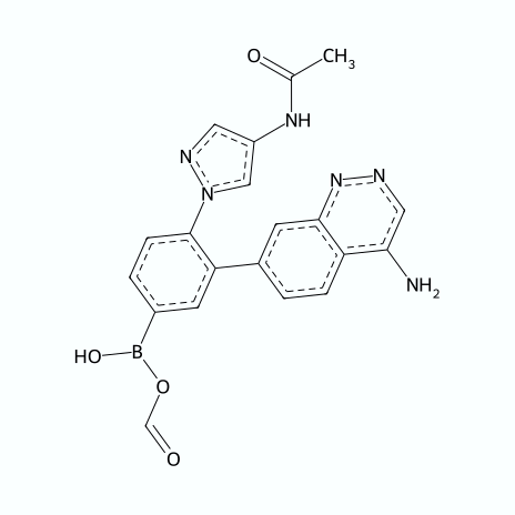 CC(=O)Nc1cnn(-c2ccc(B(O)OC=O)cc2-c2ccc3c(N)cnnc3c2)c1